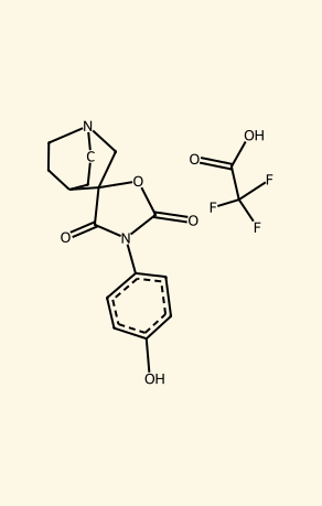 O=C(O)C(F)(F)F.O=C1OC2(CN3CCC2CC3)C(=O)N1c1ccc(O)cc1